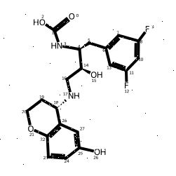 O=C(O)N[C@@H](Cc1cc(F)cc(F)c1)[C@@H](O)CN[C@H]1CCOc2ccc(O)cc21